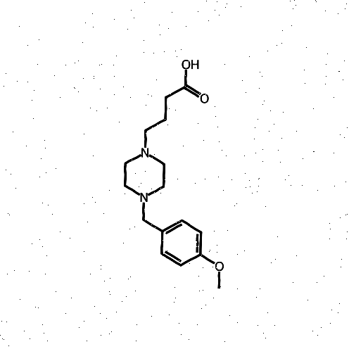 COc1ccc(CN2CCN(CCCC(=O)O)CC2)cc1